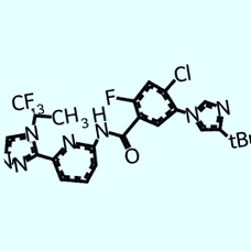 C[C@H](n1cnnc1-c1cccc(NC(=O)c2cc(-n3cnc(C(C)(C)C)c3)c(Cl)cc2F)n1)C(F)(F)F